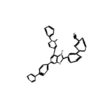 CC1C=C(c2cc(-c3ccc(-c4ccccc4)cc3)cc3c2NC(c2cccc(-c4cccc(C#N)c4)c2)O3)C=CC1c1ccccc1